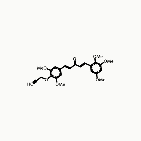 C#CCOc1c(OC)cc(/C=C/C(=O)/C=C/c2cc(OC)cc(OC)c2OC)cc1OC